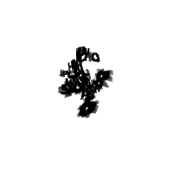 CC[C@H](C)[C@@H](C=O)NC(=O)C[C@H](O)[C@H](CC(C)C)NC(=O)C(Cc1cscn1)NC(=O)[C@H](Cc1cccc2ccccc12)NC(=O)OCc1ccccc1